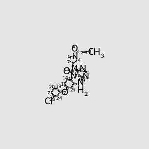 CC#CC(=O)N1CCC(n2c(=O)n(-c3ccc(Oc4cccc(Cl)c4)cc3)c3c(N)ncnc32)C1